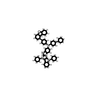 c1ccc(-c2ccc(N(c3ccc(-c4cccc5oc6ccccc6c45)cc3)c3ccc4c(c3)nc3n(-c5ccccc5)c5c6ccccc6n(-c6ccccc6)c5n43)cc2)cc1